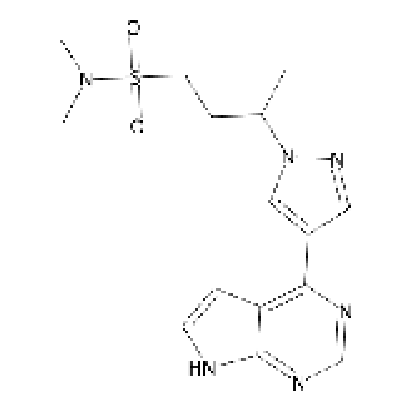 CC(CCS(=O)(=O)N(C)C)n1cc(-c2ncnc3[nH]ccc23)cn1